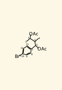 CC(=O)OC(C)C(C)C(OC(C)=O)c1ccc(Br)cc1